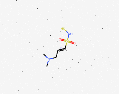 CN(C)C/C=C/S(=O)(=O)NS